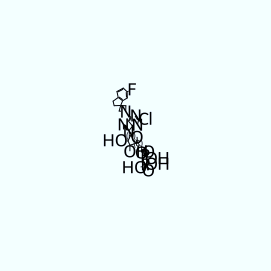 O=P(O)(O)CP(=O)(O)OC[C@H]1O[C@@H](n2cnc3c(N4CC5(CCc6ccc(F)cc65)C4)nc(Cl)nc32)C(O)C1O